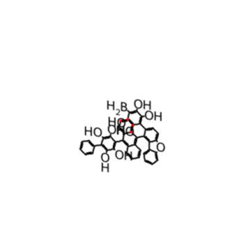 Bc1c(O)c(O)c(-c2ccc3oc4ccccc4c3c2-c2c3ccccc3c(-c3c(O)c(O)c(-c4ccccc4)c(O)c3O)c3ccccc23)c(O)c1O